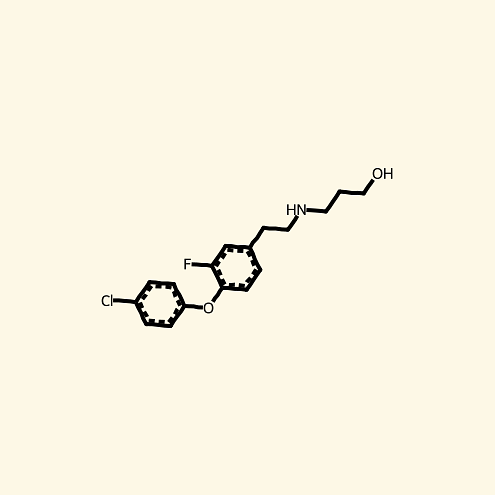 OCCCNCCc1ccc(Oc2ccc(Cl)cc2)c(F)c1